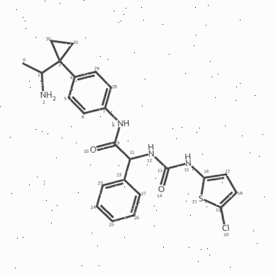 CC(N)C1(c2ccc(NC(=O)C(NC(=O)Nc3ccc(Cl)s3)c3ccccc3)cc2)CC1